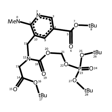 CNc1ncc(C(=O)OC(C)(C)C)cc1CN(CC(=O)OC(C)(C)C)C(=O)OCOP(=O)(OC(C)(C)C)OC(C)(C)C